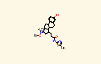 CCO/N=C1\CC(CCC(=O)Nc2ncc(C)s2)C2C3CCc4cc(O)ccc4C3CCC12C